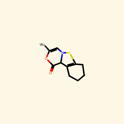 CC(C)(C)C1=CN2SC3=C(CCCC3)C2C(=O)O1